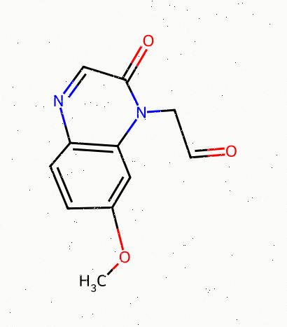 COc1ccc2ncc(=O)n(CC=O)c2c1